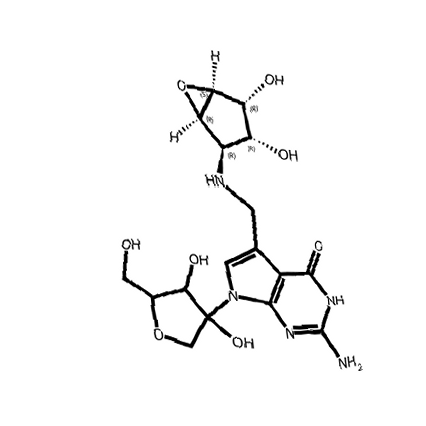 Nc1nc2c(c(CN[C@@H]3[C@@H](O)[C@@H](O)[C@@H]4O[C@H]34)cn2C2(O)COC(CO)C2O)c(=O)[nH]1